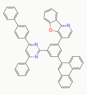 c1ccc(-c2ccc(-c3cc(-c4ccccc4)nc(-c4cc(-c5cc6ccccc6c6ccccc56)cc(-c5ccnc6c5oc5ccccc56)c4)n3)cc2)cc1